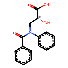 O=C(O)[C@H](O)CN(C(=O)c1ccccc1)c1ccccc1